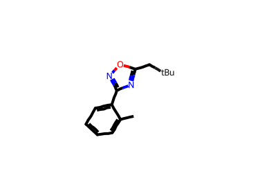 Cc1ccccc1-c1noc(CC(C)(C)C)n1